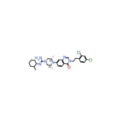 CC1CCCCC1N=C(N)N1C[C@@H](C)N(c2ccc3c(=O)n(CCc4ccc(Cl)cc4Cl)cnc3c2)[C@@H](C)C1